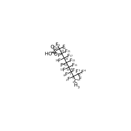 CC(F)(C(F)(F)F)C(F)(F)C(F)(F)C(F)(F)C(F)(F)C(F)(F)C(F)(F)S(=O)(=O)O